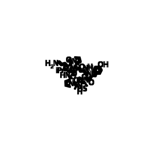 CSCC[C@H](N)C(=O)N[C@@H](Cc1ccc(O)cc1)C(=O)N[C@@H](CS)C(=O)N[C@@H](C)C(=O)N1CCC[C@H]1C(=O)N[C@@H](CC(C)C)C(=O)N[C@@H](CCCCN)C(=O)N1CCC[C@H]1C(=O)O